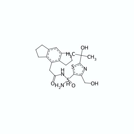 CC(C)(O)c1nc(CO)c([SH](N)(=O)NC(=O)Cc2c3c(cc4c2CCC4)CCC3)s1